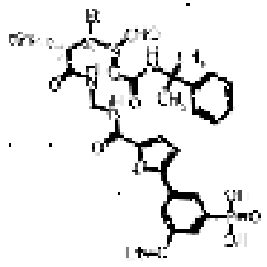 CCCCC[C@@H](C(=O)NCNC(=O)c1ccc(-c2cc(OCC)cc(P(=O)(O)O)c2)o1)[C@@H](CC)N(C=O)OC(=O)NC(C)(C)c1ccccc1